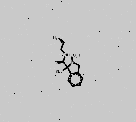 C=CCNC(=O)C1(CCCC)c2ccccc2CN1C(=O)O